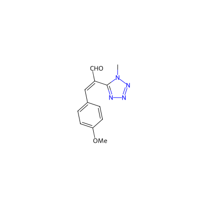 COc1ccc(C=C(C=O)c2nnnn2C)cc1